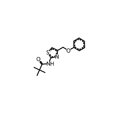 CC(C)(C)C(=O)Nc1nc(COc2ccccc2)cs1